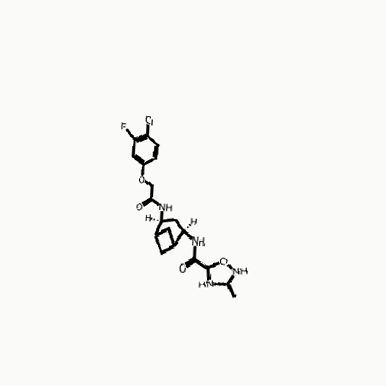 CC1NOC(C(=O)N[C@@H]2C[C@H](NC(=O)COc3ccc(Cl)c(F)c3)C3CC2C3)N1